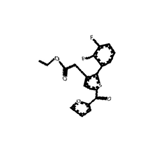 CCOC(=O)Cc1cc(C(=O)c2ccco2)sc1-c1cccc(F)c1F